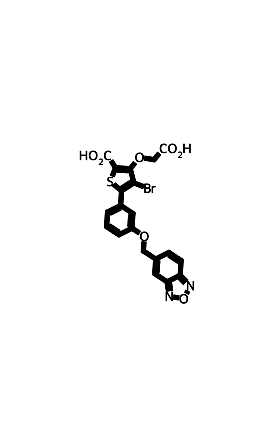 O=C(O)COc1c(C(=O)O)sc(-c2cccc(OCc3ccc4nonc4c3)c2)c1Br